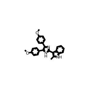 COc1ccc(-c2nc(-c3c(C)[nH]c4ccccc34)[nH]c2-c2ccc(OC)cc2)cc1